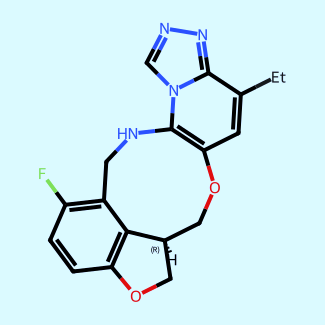 CCc1cc2c(n3cnnc13)NCc1c(F)ccc3c1[C@H](CO3)CO2